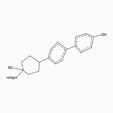 CCCCCCCC1(C#N)CCC(c2ccc(-c3ccc(O)cc3)cc2)CC1